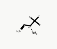 C=C[C@@H](N)C(F)(F)F